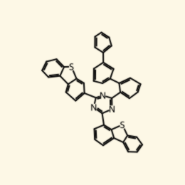 c1ccc(-c2cccc(-c3ccccc3-c3nc(-c4ccc5c(c4)sc4ccccc45)nc(-c4cccc5c4sc4ccccc45)n3)c2)cc1